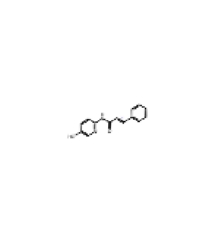 O=C(/C=C/c1ccccc1)Nc1ccc(O)cn1